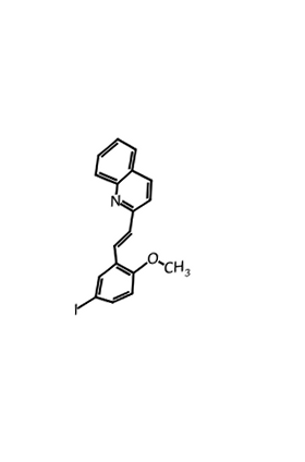 COc1ccc(I)cc1C=Cc1ccc2ccccc2n1